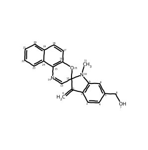 C=C1c2ccc(CO)cc2N(C)C12C=Nc1c(ccc3ccccc13)O2